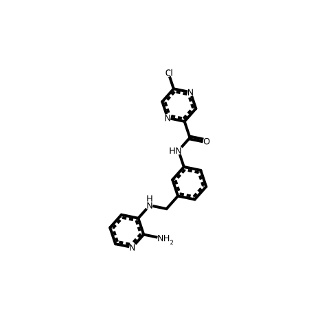 Nc1ncccc1NCc1cccc(NC(=O)c2cnc(Cl)cn2)c1